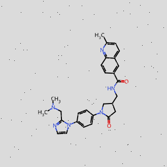 Cc1ccc2cc(C(=O)NCC3CC(=O)N(c4ccc(-n5ccnc5CN(C)C)cc4)C3)ccc2n1